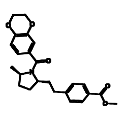 COC(=O)c1ccc(CC[C@H]2CC[C@@H](C)N2C(=O)c2ccc3c(c2)OCCO3)cc1